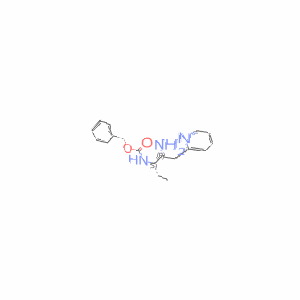 CC[C@H](NC(=O)OCc1ccccc1)[C@H](N)Cc1ccccn1